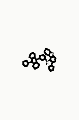 C1=CC2Sc3ccc(-c4ccccc4)c(Nc4cccc(-c5c6ccccc6c(-c6ccccc6)c6ccccc56)c4)c3C2C=C1